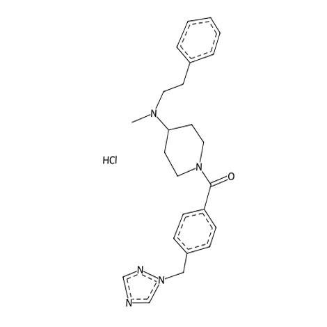 CN(CCc1ccccc1)C1CCN(C(=O)c2ccc(Cn3cncn3)cc2)CC1.Cl